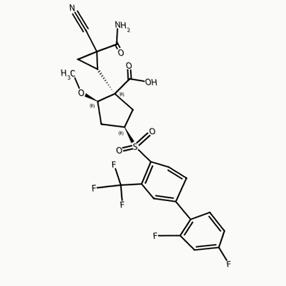 CO[C@@H]1C[C@H](S(=O)(=O)c2ccc(-c3ccc(F)cc3F)cc2C(F)(F)F)C[C@@]1(C(=O)O)C1CC1(C#N)C(N)=O